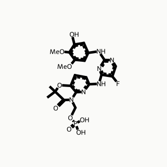 COc1cc(Nc2ncc(F)c(Nc3ccc4c(n3)N(COP(=O)(O)O)C(=O)C(C)(C)O4)n2)cc(O)c1OC